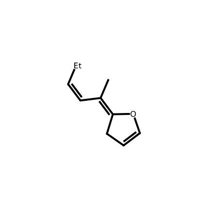 CC/C=C\C(C)=C1/CC=CO1